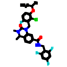 CCC(Oc1ccc(F)c(CN2C(=O)N(C)C(C)c3ccc(C(=O)NCc4c(F)cc(F)cc4F)cc32)c1Cl)C(=O)O